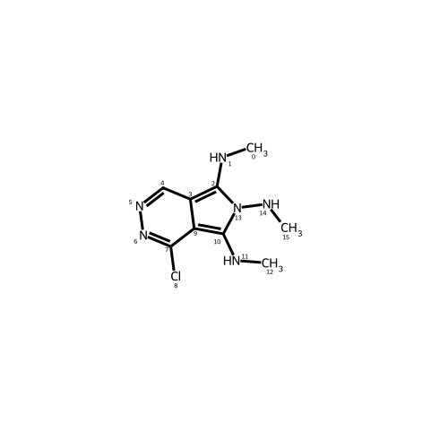 CNc1c2cnnc(Cl)c2c(NC)n1NC